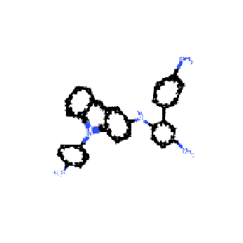 Nc1ccc(-c2cc(N)ccc2Nc2ccc3c(c2)c2ccccc2n3-c2ccc(N)cc2)cc1